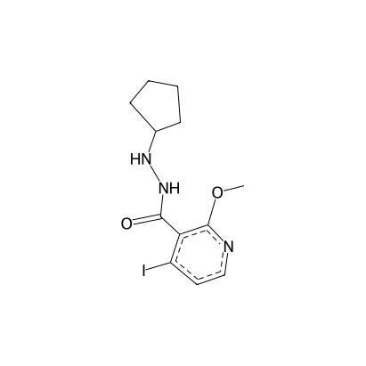 COc1nccc(I)c1C(=O)NNC1CCCC1